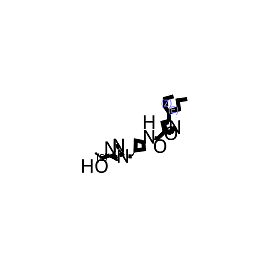 C/C=C\C(=C/CC)c1cc(C(=O)N[C@H]2C[C@@H](Cn3cc([C@H](C)O)nn3)C2)on1